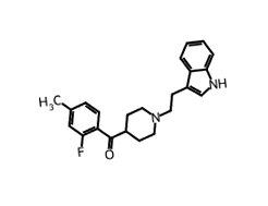 Cc1ccc(C(=O)C2CCN(CCc3c[nH]c4ccccc34)CC2)c(F)c1